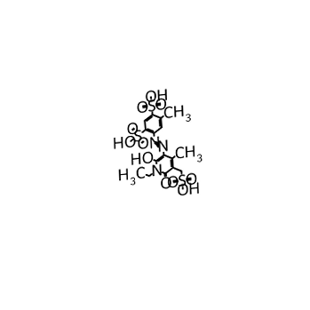 CCn1c(O)c(N=Nc2cc(C)c(S(=O)(=O)O)cc2S(=O)(=O)O)c(C)c(CS(=O)(=O)O)c1=O